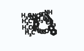 Cc1c(C)n2c3ccc(Cl)c(c13)-c1c(nn(C)c1C)CSCC(=N)/C=C(\N(C)C)CCc1cc(c3ccccc3c1)OCCC2